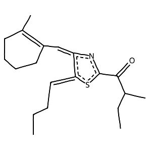 CCC/C=c1\sc(C(=O)C(C)CC)n\c1=C\C1=C(C)CCCC1